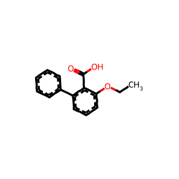 CCOc1cccc(-c2ccccc2)c1C(=O)O